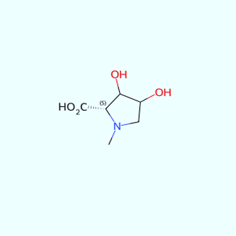 CN1CC(O)C(O)[C@H]1C(=O)O